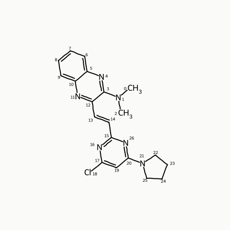 CN(C)c1nc2ccccc2nc1/C=C/c1nc(Cl)cc(N2CCCC2)n1